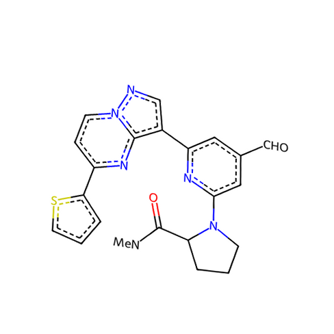 CNC(=O)C1CCCN1c1cc(C=O)cc(-c2cnn3ccc(-c4cccs4)nc23)n1